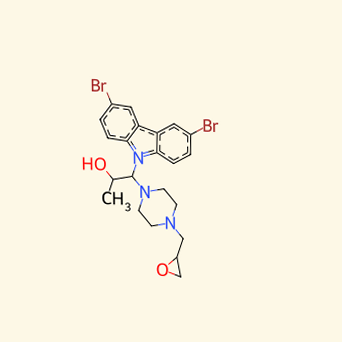 CC(O)C(N1CCN(CC2CO2)CC1)n1c2ccc(Br)cc2c2cc(Br)ccc21